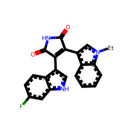 CCn1cc(C2=C(c3c[nH]c4cc(F)ccc34)C(=O)NC2=O)c2ccccc21